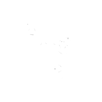 Cc1ccc(CCc2nc3c(N4CCN(C(=O)COc5ccc(Br)cc5)CC4)nc(N)nc3s2)cc1